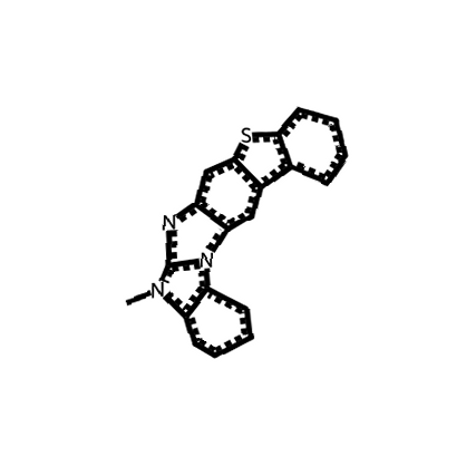 Cn1c2ccccc2n2c3cc4c(cc3nc12)sc1ccccc14